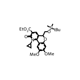 CCOC(=O)c1cc2c(n(C3CC3)c1=O)-c1cc(OC)c(OC)cc1OC2CO[Si](C)(C)C(C)(C)C